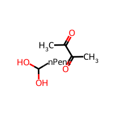 CC(=O)C(C)=O.CCCCCC(O)O